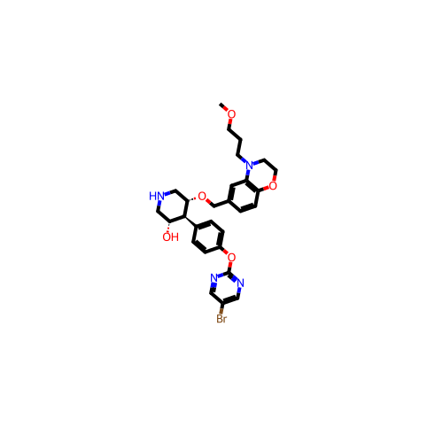 COCCCN1CCOc2ccc(CO[C@H]3CNC[C@@H](O)[C@@H]3c3ccc(Oc4ncc(Br)cn4)cc3)cc21